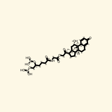 C[C@]12C[C@H](O)C3(F)[C@@H](CCC4=CC(=O)C=C[C@@]43C)C1CCC2C(=O)COC(=O)CNC(=O)CCCC(CON(O)O)ON(O)O